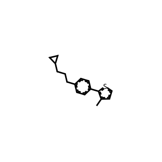 Cc1ccsc1-c1ccc(CCCC2CC2)cc1